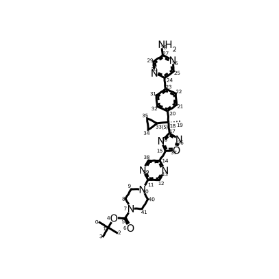 CC(C)(C)OC(=O)N1CCN(c2cnc(-c3nc([C@](C)(c4ccc(-c5cnc(N)cn5)cc4)C4CC4)no3)cn2)CC1